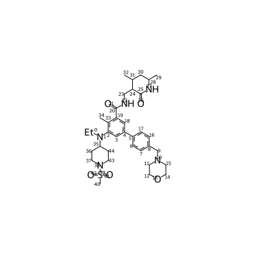 CCN(c1cc(-c2ccc(CN3CCOCC3)cc2)cc(C(=O)NCC2C(=O)NC(C)CC2C)c1C)C1CCN(S(C)(=O)=O)CC1